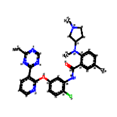 CNc1ncnc(-c2cccnc2Oc2ccc(Cl)c(NC(=O)c3cc(C(F)(F)F)ccc3N(C)C3CCN(C)C3)c2)n1